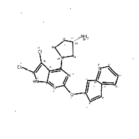 CCc1[nH]c2nc(Oc3ccc4cccnc4c3)nc(N3CC[C@H](N)C3)c2c1Cl